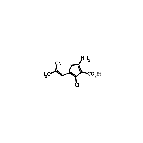 CCOC(=O)c1c(N)sc(/C=C(/C)C#N)c1Cl